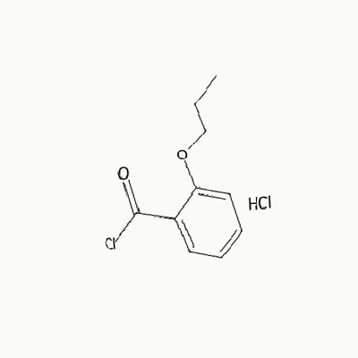 CCCOc1ccccc1C(=O)Cl.Cl